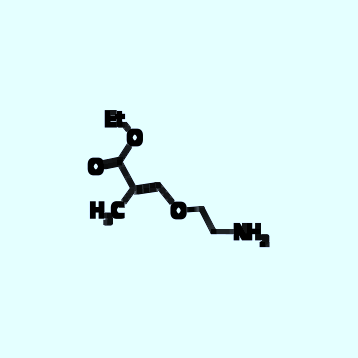 CCOC(=O)C(C)=COCCN